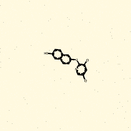 Oc1ccc2cc(Oc3ncc(Cl)cc3Cl)ccc2c1